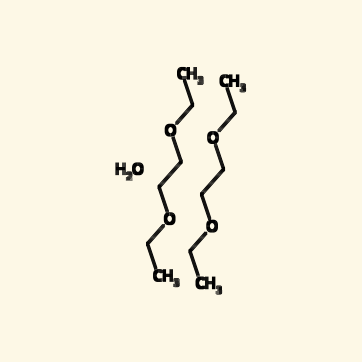 CCOCCOCC.CCOCCOCC.O